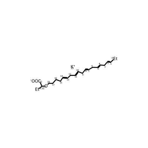 CCC=CCC=CCC=CCC=CCC=CCCCCOC(CC)C(=O)[O-].[K+]